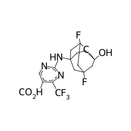 O=C(O)c1cnc(NC23CCC4(O)CC(F)(CC(F)(C4)C2)C3)nc1C(F)(F)F